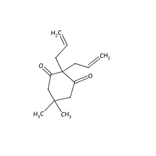 C=CCC1(CC=C)C(=O)CC(C)(C)CC1=O